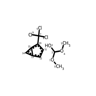 COC(O)OC.ClC(Cl)(Cl)c1ccc2cc1-2